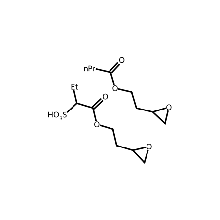 CCC(C(=O)OCCC1CO1)S(=O)(=O)O.CCCC(=O)OCCC1CO1